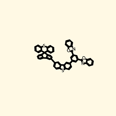 c1ccc2c(c1)Sc1ccccc1C21c2ccccc2-c2cc(-c3ccc4sc5ccc(-c6cc(-c7nc8ccccc8o7)cc(-c7nc8ccccc8o7)c6)cc5c4c3)ccc21